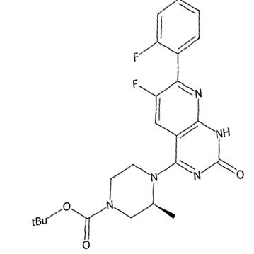 C[C@H]1CN(C(=O)OC(C)(C)C)CCN1c1nc(=O)[nH]c2nc(-c3ccccc3F)c(F)cc12